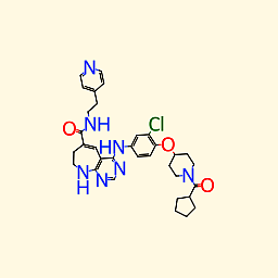 O=C(NCCc1ccncc1)C1=Cc2c(ncnc2Nc2ccc(OC3CCN(C(=O)C4CCCC4)CC3)c(Cl)c2)NCC1